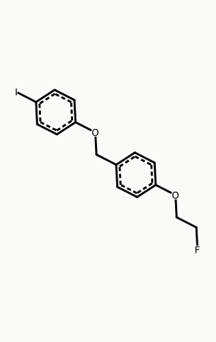 FCCOc1ccc(COc2ccc(I)cc2)cc1